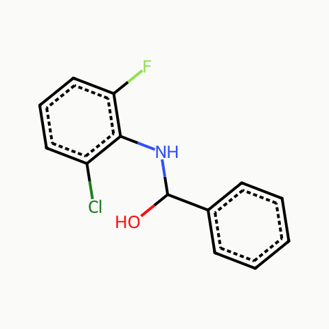 OC(Nc1c(F)cccc1Cl)c1ccccc1